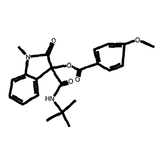 COc1ccc(C(=O)OC2(C(=O)NC(C)(C)C)C(=O)N(C)c3ccccc32)cc1